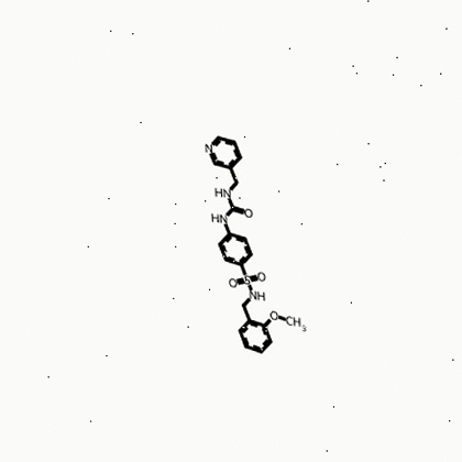 COc1ccccc1CNS(=O)(=O)c1ccc(NC(=O)NCc2cccnc2)cc1